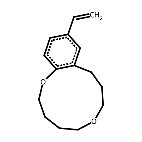 C=Cc1ccc2c(c1)CCCOCCCCO2